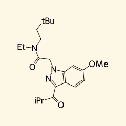 CCN(CCC(C)(C)C)C(=O)Cn1nc(C(=O)C(C)C)c2ccc(OC)cc21